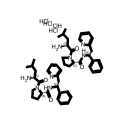 CC(C)C[C@H](N)C(=O)N1CCC[C@H]1C(=O)N[C@@H](Cc1ccccn1)c1ccccc1.CC(C)C[C@H](N)C(=O)N1CCC[C@H]1C(=O)N[C@@H](Cc1ccccn1)c1ccccc1.Cl.Cl.Cl.Cl